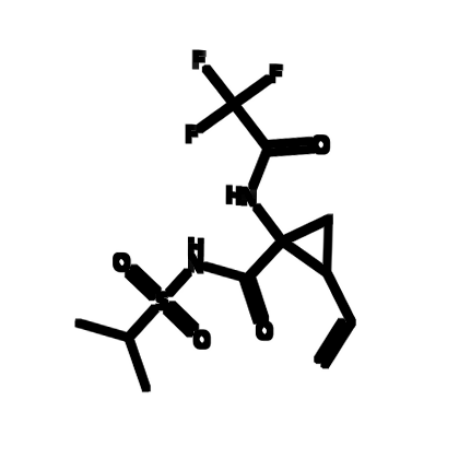 C=CC1CC1(NC(=O)C(F)(F)F)C(=O)NS(=O)(=O)C(C)C